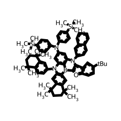 CC(C)(C)c1ccc2oc3c(c2c1)N(c1ccc2ccccc2c1)c1cc(N(c2ccc([Si](C)(C)C)cc2)c2ccc([Si](C)(C)C)cc2)cc2c1B3c1cc3c(cc1N2c1ccc2c(c1)C(C)(C)CCC2(C)C)C(C)(C)CCC3(C)C